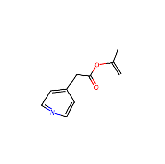 C=C(C)OC(=O)Cc1ccncc1